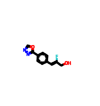 OC/C(F)=C/c1ccc(-c2nnco2)cc1